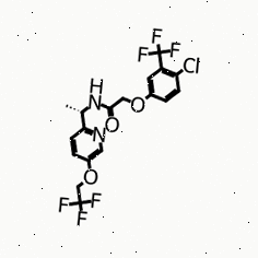 C[C@H](NC(=O)COc1ccc(Cl)c(C(F)(F)F)c1)c1ccc(OCC(F)(F)F)cn1